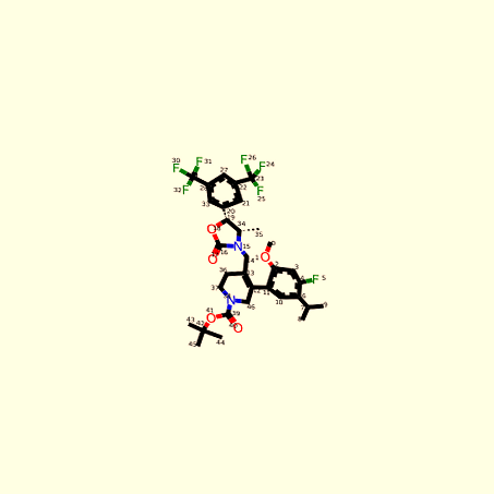 COc1cc(F)c(C(C)C)cc1C1=C(CN2C(=O)O[C@H](c3cc(C(F)(F)F)cc(C(F)(F)F)c3)[C@@H]2C)CCN(C(=O)OC(C)(C)C)C1